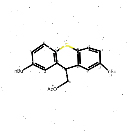 CCCCc1ccc2c(c1)C(COC(C)=O)c1cc(CCCC)ccc1S2